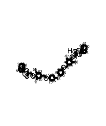 CC1(OC(=O)COc2c(I)cc(COc3ccc([I+]c4ccc(OCc5cc(I)c(OCC(=O)OC6(C)C7CC8CC(C7)CC6C8)c(I)c5)cc4)cc3)cc2I)C2CC3CC(C2)CC1C3